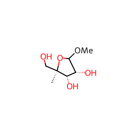 COC1O[C@](C)(CO)[C@@H](O)[C@H]1O